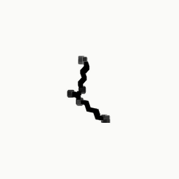 CCC=CCCOC(=O)OCCC=CCC